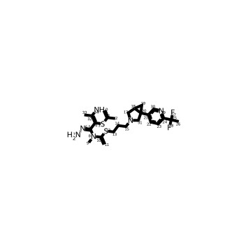 C=C(C)SC(/C(=N/N)N(C)C(=C)SCCCN1CC2CC2(c2ccc(C(C)(F)F)nc2)C1)=C(/C)N